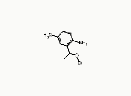 CCOC(C)c1cc(N)ccc1N